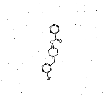 O=C(ON1CCN(Cc2cccc(Br)c2)CC1)c1ccccc1